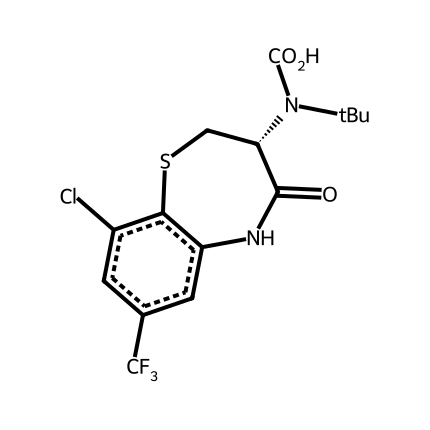 CC(C)(C)N(C(=O)O)[C@H]1CSc2c(Cl)cc(C(F)(F)F)cc2NC1=O